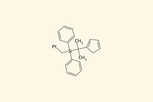 CC(C)(C1=CC=CC1)[Si]([CH2][Pt])(c1ccccc1)c1ccccc1